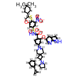 CC1(C)CCC(C2COc3cc(S(=O)(=O)NC(=O)c4ccc(N5CCC6(CC5)CC(N5CCC[C@@H]5c5ccccc5C5CC5)C6)cc4Oc4cnc5[nH]ccc5c4)cc([N+](=O)[O-])c3S2)CC1